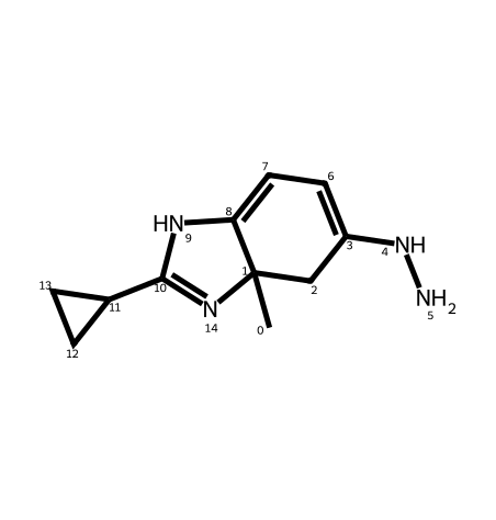 CC12CC(NN)=CC=C1NC(C1CC1)=N2